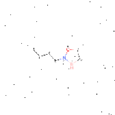 CCCCN1BCCO1